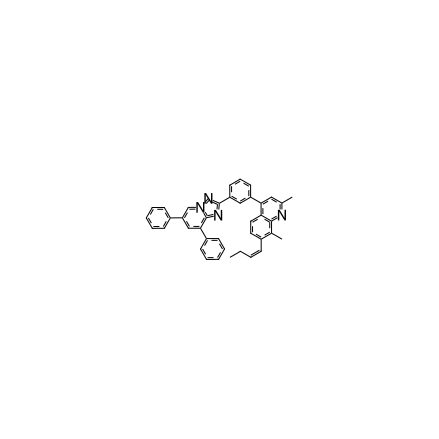 CC/C=C\c1ccc2c(-c3cccc(-c4nc5c(-c6ccccc6)cc(-c6ccccc6)cn5n4)c3)cc(C)nc2c1C